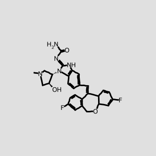 CN1C[C@H](O)[C@@H](n2/c(=N/C(N)=O)[nH]c3cc(/C=C4\c5ccc(F)cc5COC5C=C(F)C=CC45)ccc32)C1